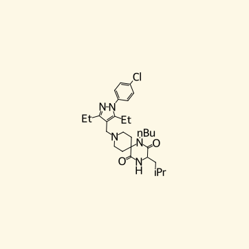 CCCCN1C(=O)C(CC(C)C)NC(=O)C12CCN(Cc1c(CC)nn(-c3ccc(Cl)cc3)c1CC)CC2